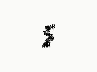 C[C@@H]1CN(c2ccn3ncc(C(=O)Nc4cn([C@H]5CC[C@H](CN(C)C6CCN(c7cccc8c7n(C)c(=O)n8C7CCC(=O)NC7=O)CC6)CC5)nc4C(F)F)c3n2)C[C@H](C)O1